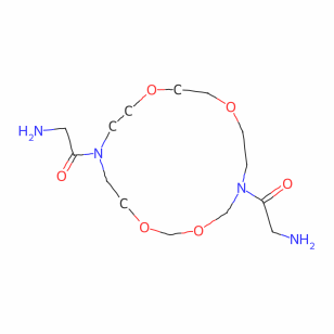 NCC(=O)N1CCOCCOCCN(C(=O)CN)COCOCC1